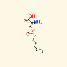 CCCCCC(=O)OC[C@H](N)C(=O)O